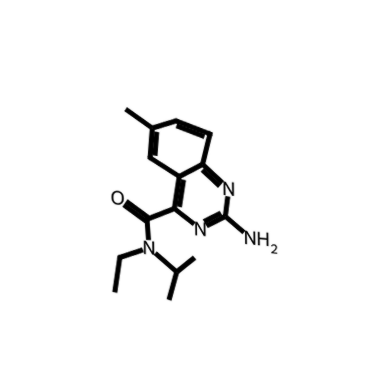 CCN(C(=O)c1nc(N)nc2ccc(C)cc12)C(C)C